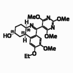 CCOc1cc2c(cc1OC)C(c1c(OC)nc(OC)nc1OC)=N[C@@H]1CC[C@@H](O)C[C@H]21